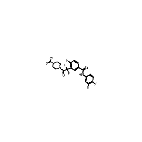 Cc1cc(NC(=O)c2ccc(F)c(C(F)(F)C(=O)N3CCC(C(=O)O)CC3)c2)ccc1F